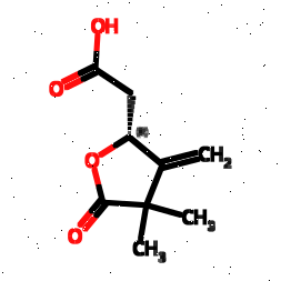 C=C1[C@@H](CC(=O)O)OC(=O)C1(C)C